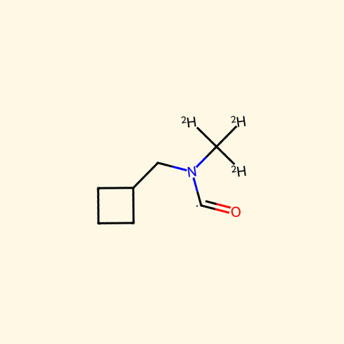 [2H]C([2H])([2H])N([C]=O)CC1CCC1